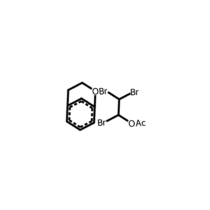 CC(=O)OC(Br)C(Br)Br.c1cc2cc(c1)OCC2